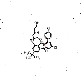 CC(C)(O)c1cc2c3c(c1)C1CC1(CNCCO)CO[C@@]3(c1ccc(Cl)cc1)N(Cc1ccc(Cl)cn1)C2=O